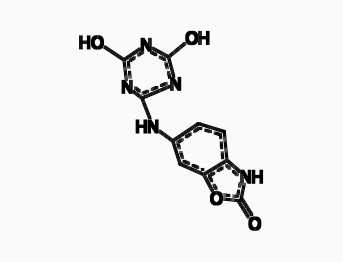 O=c1[nH]c2ccc(Nc3nc(O)nc(O)n3)cc2o1